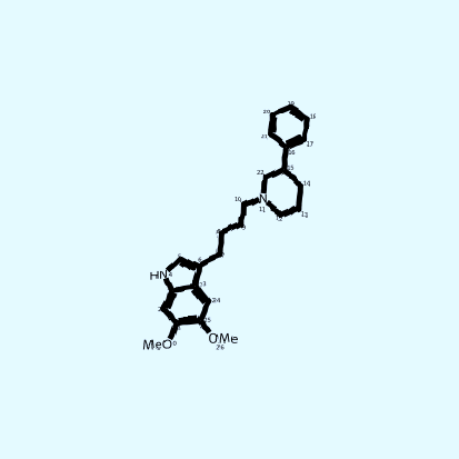 COc1cc2[nH]cc(CCCCN3CCCC(c4ccccc4)C3)c2cc1OC